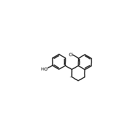 Oc1cccc(C2[C]CCc3cccc(Cl)c32)c1